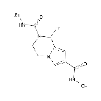 CCC1c2cc(C(=O)NO)cn2CCN1C(=O)NC(C)(C)C